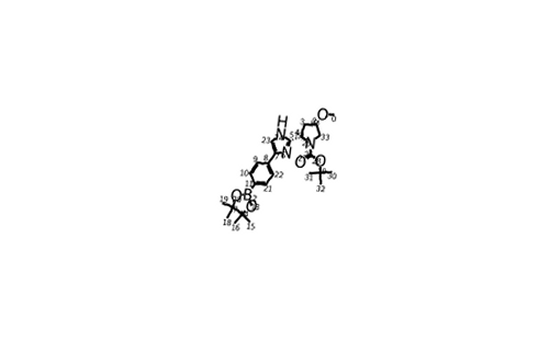 CO[C@H]1C[C@@H](c2nc(-c3ccc(B4OC(C)(C)C(C)(C)O4)cc3)c[nH]2)N(C(=O)OC(C)(C)C)C1